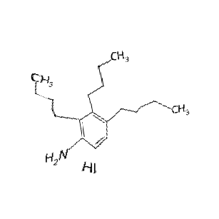 CCCCc1ccc(N)c(CCCC)c1CCCC.I